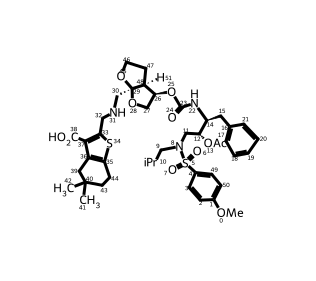 COc1ccc(S(=O)(=O)N(CC(C)C)C[C@@H](OC(C)=O)[C@H](Cc2ccccc2)NC(=O)O[C@H]2CO[C@@]3(CNCc4sc5c(c4C(=O)O)CC(C)(C)CC5)OCC[C@@H]23)cc1